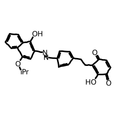 CC(C)Oc1cc(/N=N/c2ccc(CCC3=C(O)C(=O)C=CC3=O)cc2)c(O)c2ccccc12